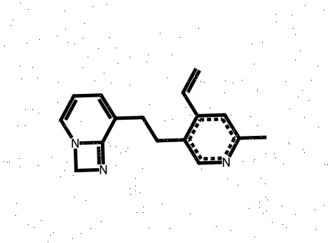 C=Cc1cc(C)ncc1CCC1=CC=CN2CN=C12